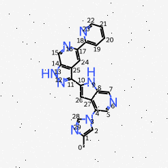 Cc1cn(-c2cncc3[nH]c(-c4n[nH]c5cnc(-c6ccccn6)cc45)cc23)cn1